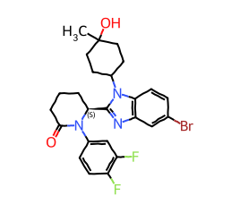 CC1(O)CCC(n2c([C@@H]3CCCC(=O)N3c3ccc(F)c(F)c3)nc3cc(Br)ccc32)CC1